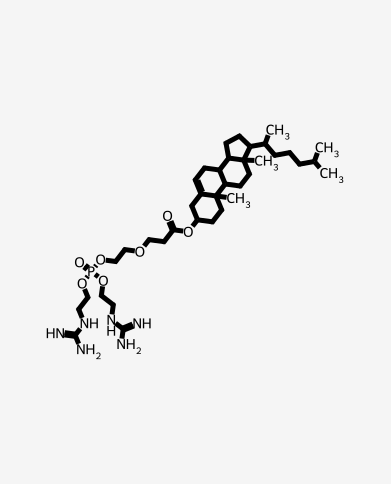 CC(C)CCCC(C)C1CCC2C3CC=C4CC(OC(=O)CCOCCOP(=O)(OCCNC(=N)N)OCCNC(=N)N)CCC4(C)C3CCC12C